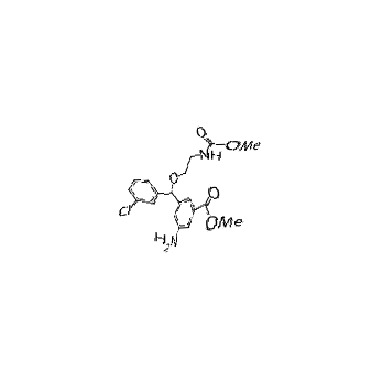 COC(=O)NCCOC(c1cccc(Cl)c1)c1cc(N)cc(C(=O)OC)c1